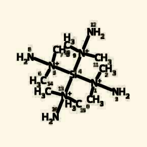 C[N+](C)(N)[Si]([N+](C)(C)N)([N+](C)(C)N)[N+](C)(C)N